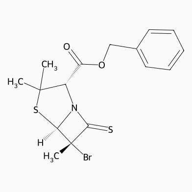 CC1(C)S[C@H]2N(C(=S)[C@]2(C)Br)[C@H]1C(=O)OCc1ccccc1